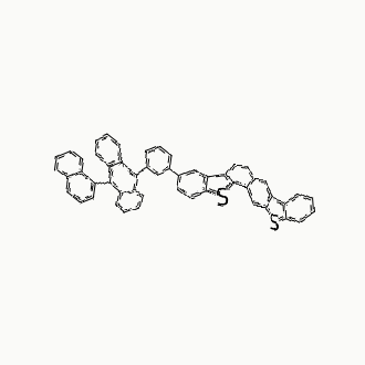 c1cc(-c2ccc3sc4c5cc6sc7ccccc7c6cc5ccc4c3c2)cc(-c2c3ccccc3c(-c3cccc4ccccc34)c3ccccc23)c1